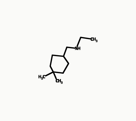 CCNCC1CCC(C)(C)CC1